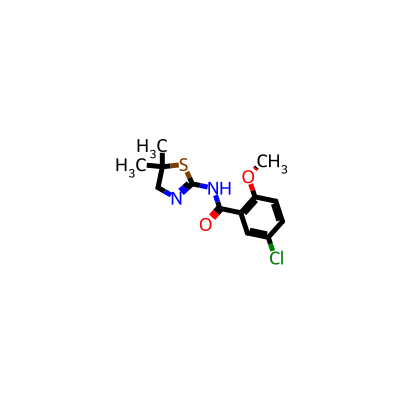 COc1ccc(Cl)cc1C(=O)NC1=NCC(C)(C)S1